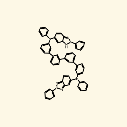 C1=CC2=NN(c3ccccc3)NC2C=C1N(c1ccccc1)c1cccc(-c2cccc(-c3cccc(-c4cccc(N(c5ccccc5)c5ccc6nn(-c7ccccc7)nc6c5)c4)c3)c2)c1